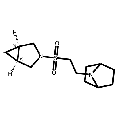 O=S(=O)(CCN1C2CCC1CC2)N1C[C@H]2[CH][C@H]2C1